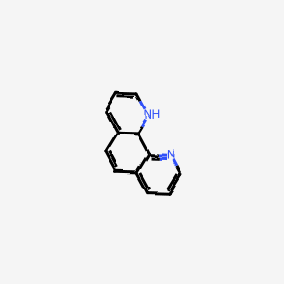 C1=CNC2C(=C1)C=Cc1cccnc12